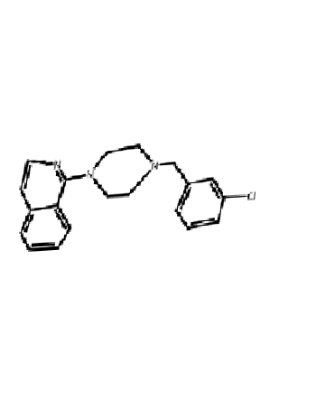 Clc1cccc(CN2CCN(c3nccc4ccccc34)CC2)c1